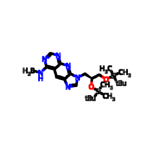 BNc1ncnc2nc3c(cc12)ncn3C[C@@H](CO[Si](C)(C)C(C)(C)C)O[Si](C)(C)C(C)(C)C